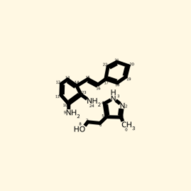 Cc1n[nH]cc1CCO.Nc1cccc(C=Cc2ccccc2)c1N